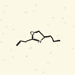 C=CCC1=NC(CCC)CO1